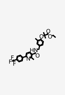 CCOC(=O)C(C)(C)Oc1ccc(CNC(=O)c2ccc(-c3ccc(C(F)(F)F)cc3)nc2C)cc1C